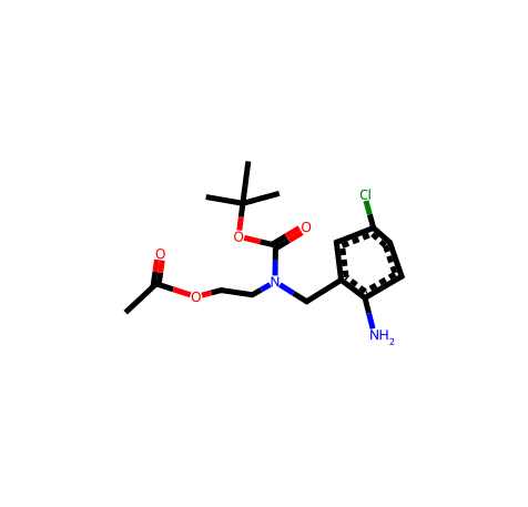 CC(=O)OCCN(Cc1cc(Cl)ccc1N)C(=O)OC(C)(C)C